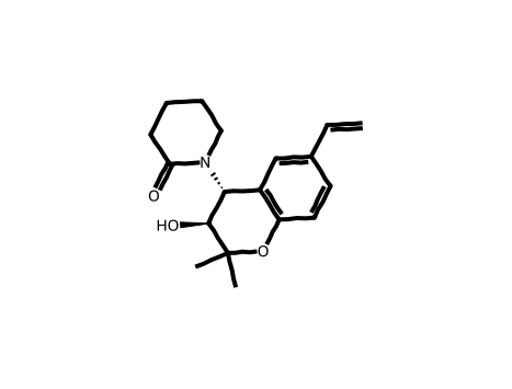 C=Cc1ccc2c(c1)[C@@H](N1CCCCC1=O)[C@H](O)C(C)(C)O2